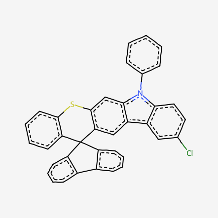 Clc1ccc2c(c1)c1cc3c(cc1n2-c1ccccc1)Sc1ccccc1C31c2ccccc2-c2ccccc21